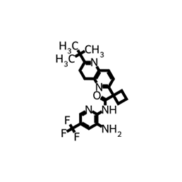 CC(C)(C)C1=Nc2ccc(C3(C(=O)Nc4ncc(C(F)(F)F)cc4N)CCC3)nc2CC1